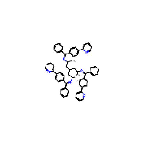 CC(CC(CC(C)/N=C(/c1ccccc1)c1ccc(-c2ccccn2)cc1)CC(C)/N=C(/c1ccccc1)c1ccc(-c2ccccn2)cc1)/N=C(/c1ccccc1)c1ccc(-c2ccccn2)cc1